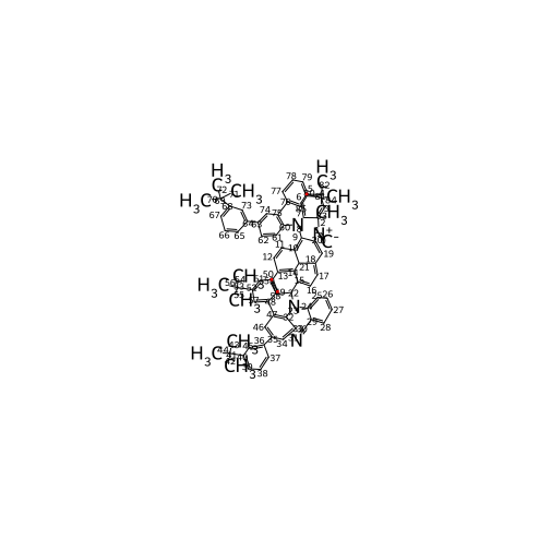 [C-]#[N+]c1ccccc1N(C1=C2C=CC3=C4C(=CC=C(C=C1)C24)C(N(c1ccccc1C#N)c1ccc(-c2cccc(C(C)(C)C)c2)cc1-c1cccc(C(C)(C)C)c1)C=C3)c1ccc(-c2cccc(C(C)(C)C)c2)cc1-c1cccc(C(C)(C)C)c1